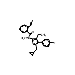 CCc1c(N(C)C(=O)c2ccccc2C=O)nn(CC2CC2)c1-c1ccc(F)cc1